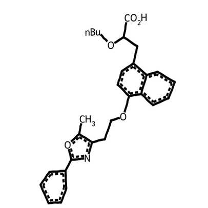 CCCCOC(Cc1ccc(OCCc2nc(-c3ccccc3)oc2C)c2ccccc12)C(=O)O